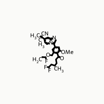 C=CC(F)OCc1cc(-c2cnc3cc(C(C)(C)C#N)ccn23)cc(OC)c1C(=O)CCC(C)CC(F)F